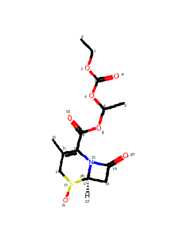 CCOC(=O)OC(C)OC(=O)C1=C(C)C[S+]([O-])[C@@H]2CC(=O)N12